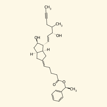 CC#CCC(C)[C@H](O)/C=C/[C@@H]1[C@H]2C/C(=C\CCCC(=O)O[C@@H](C)c3ccccc3)C[C@H]2C[C@H]1O